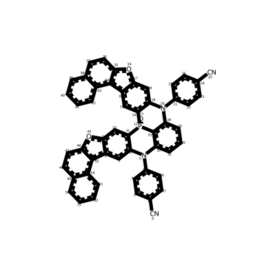 N#Cc1ccc(N2c3cc4c(cc3P3(=O)c5cc6c(cc5N(c5ccc(C#N)cc5)c5cccc2c53)oc2ccc3ccccc3c26)oc2ccc3ccccc3c24)cc1